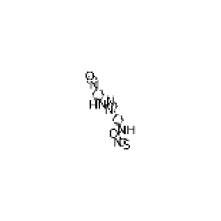 O=C(Nc1ccc(-c2ccnc(Nc3ccc(N4CCOCC4)cc3)n2)cc1)c1cscn1